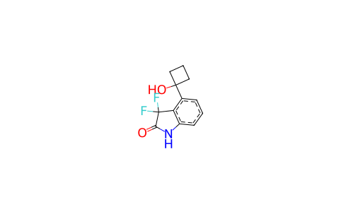 O=C1Nc2cccc(C3(O)CCC3)c2C1(F)F